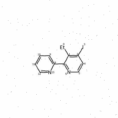 CCc1c(I)ccnc1-c1ccccn1